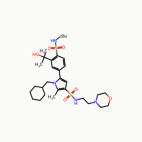 Cc1c(S(=O)(=O)NCCN2CCOCC2)cc(-c2ccc(S(=O)(=O)NC(C)(C)C)c(C(C)(C)O)c2)n1CC1CCCCC1